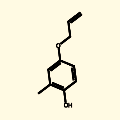 C=CCOc1ccc(O)c(C)c1